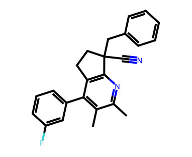 Cc1nc2c(c(-c3cccc(F)c3)c1C)CCC2(C#N)Cc1ccccc1